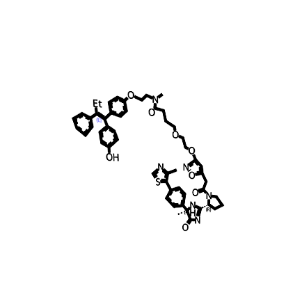 CC/C(=C(/c1ccc(O)cc1)c1ccc(OCCN(C)C(=O)CCCOCCOc2cc(CC(=O)N3CCC[C@@H]3C3=NC(=O)[C@@](C)(c4ccc(-c5scnc5C)cc4)N3)on2)cc1)c1ccccc1